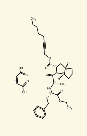 CCCCCC#CCOC(=O)[C@@H]1C[C@@H]2CCC[C@@H]2N1C(=O)[C@H](C)N[C@@H](CCc1ccccc1)C(=O)OCC.O=C(O)/C=C\C(=O)O